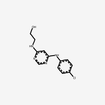 OCCNc1cc(Nc2ccc(Cl)cc2)ncn1